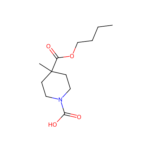 CCCCOC(=O)C1(C)CCN(C(=O)O)CC1